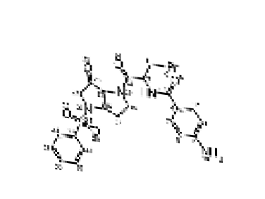 CC(C)CC(NC(=O)c1ccc(N)cc1)C(=O)N1CCC2C1C(=O)CN2S(=O)(=O)c1ccccc1